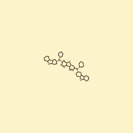 c1ccc(N(c2ccc3oc4ccccc4c3c2)c2cc3sc4nc(N(c5ccccc5)c5ccc6oc7ccccc7c6c5)nnc4c3nn2)cc1